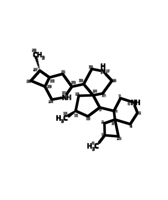 CC1CC2(CCNCC2C2C[C@@H](C)CC23CCNCC3C2CC3C(CN2)C[C@@H]3C)C1